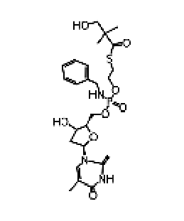 C=C1NC(=O)C(C)=CN1[C@H]1CC(O)[C@@H](COP(=O)(NCc2ccccc2)OCCSC(=O)C(C)(C)CO)O1